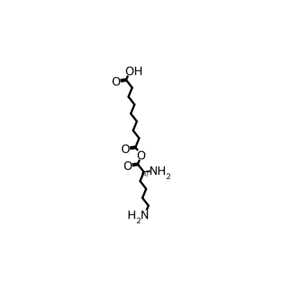 NCCCC[C@H](N)C(=O)OC(=O)CCCCCCCC(=O)O